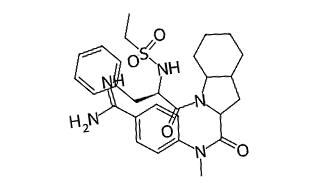 CCS(=O)(=O)N[C@H](Cc1ccccc1)C(=O)N1C(C(=O)N(C)c2ccc(C(=N)N)cc2)CC2CCCCC21